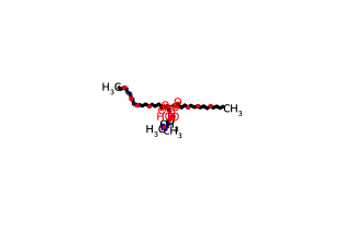 CC\C=C/C=C/C=C/C=C\CCCCCCCC(=O)O[C@H](COC(=O)CCCCCCCCCCCCCCC)COP(=O)(O)OCC[N+](C)(C)C